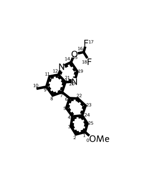 COc1ccc2cc(-c3cc(C)cc4nc(OC(F)F)cnc34)ccc2c1